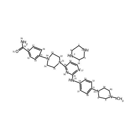 C1CNCCN1.CN1CCN(c2ccc(Nc3nccc(N4CCN(c5ccc(C(N)=O)cc5)CC4)n3)cc2)CC1